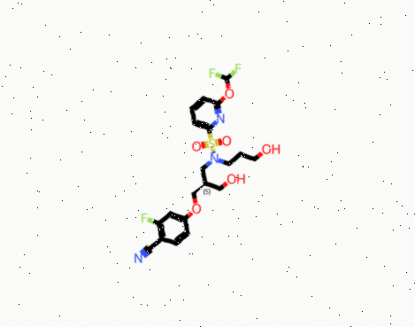 N#Cc1ccc(OC[C@H](CO)CN(CCCO)S(=O)(=O)c2cccc(OC(F)F)n2)cc1F